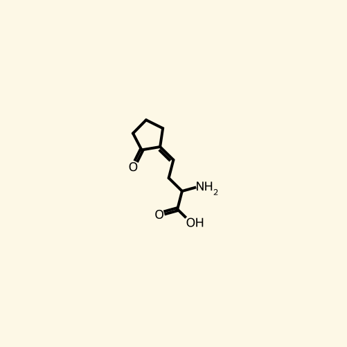 NC(C/C=C1/CCCC1=O)C(=O)O